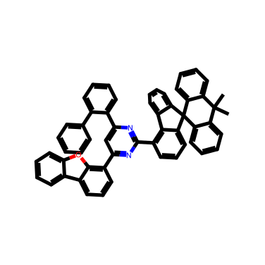 CC1(C)c2ccccc2C2(c3ccccc3-c3c(-c4nc(-c5ccccc5-c5ccccc5)cc(-c5cccc6c5oc5ccccc56)n4)cccc32)c2ccccc21